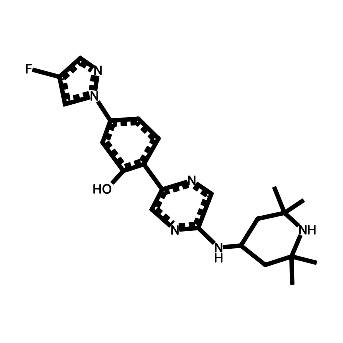 CC1(C)CC(Nc2cnc(-c3ccc(-n4cc(F)cn4)cc3O)cn2)CC(C)(C)N1